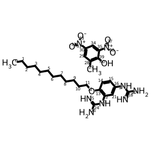 CCCCCCCCCCCCOc1ccc(NC(=N)N)cc1NC(=N)N.Cc1cc([N+](=O)[O-])cc([N+](=O)[O-])c1O